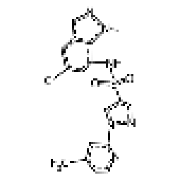 Cn1ncc2cc(Cl)cc(NS(=O)(=O)c3cnn(-c4cc(C(F)(F)F)ccn4)c3)c21